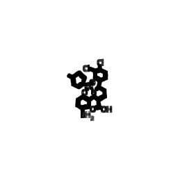 Bc1cccc(C2C(C(=O)O)=CCC(c3ccc(Cl)c(Cl)c3)N2S(=O)(=O)c2ccc(C)cc2)c1